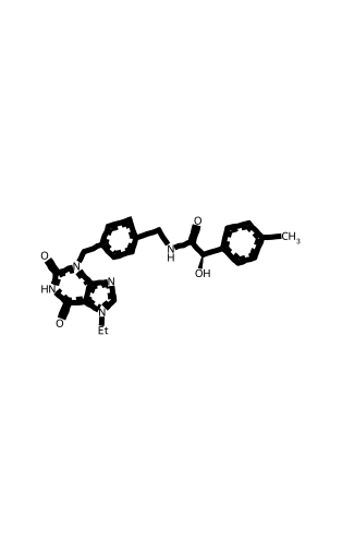 CCn1cnc2c1c(=O)[nH]c(=O)n2Cc1ccc(CNC(=O)[C@H](O)c2ccc(C)cc2)cc1